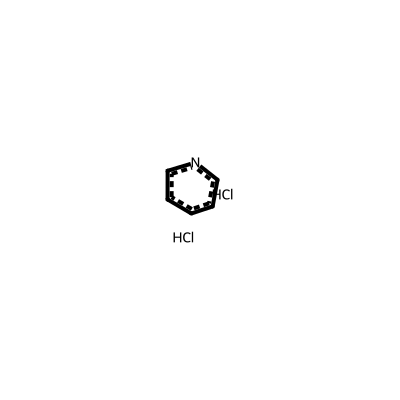 Cl.Cl.c1ccncc1